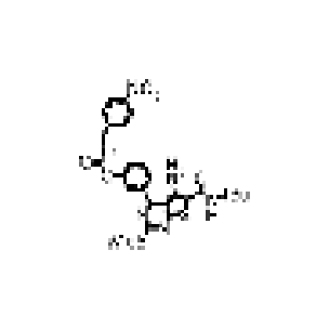 CSc1nc(-c2cccc(OC(=O)OCc3ccc([N+](=O)[O-])cc3)c2)c2c(N)c(C(=O)NC(C)(C)C)sc2n1